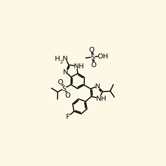 CC(C)c1nc(-c2cc(S(=O)(=O)C(C)C)c3nc(N)[nH]c3c2)c(-c2ccc(F)cc2)[nH]1.CS(=O)(=O)O